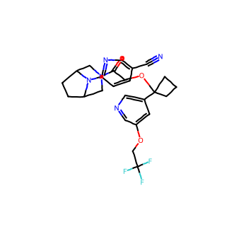 N#Cc1ccc(N2C3CCC2CN(C(=O)COC2(c4cncc(OCC(F)(F)F)c4)CCC2)C3)nc1